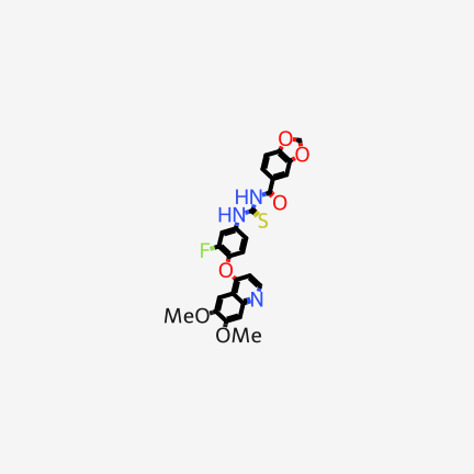 COc1cc2nccc(Oc3ccc(NC(=S)NC(=O)c4ccc5c(c4)OCO5)cc3F)c2cc1OC